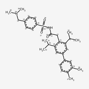 Cc1ccc(-c2cc(C(C)C)c(CC(=O)NS(=O)(=O)c3ccc(CN(C)C)cc3)c(C(C)C)c2)cc1C